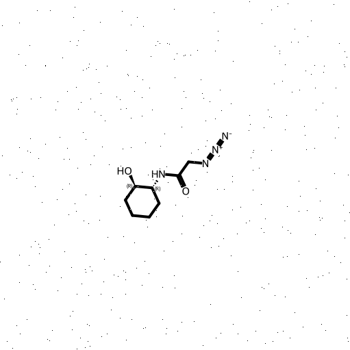 [N-]=[N+]=NCC(=O)N[C@@H]1CCCC[C@H]1O